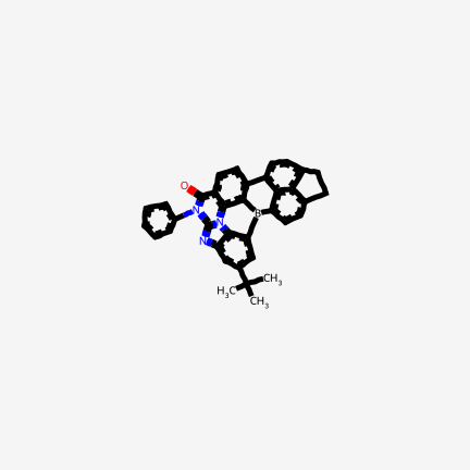 CC(C)(C)c1cc2c3c(c1)nc1n(-c4ccccc4)c(=O)c4ccc5c(c4n31)B2c1ccc2c3c(ccc-5c13)CC2